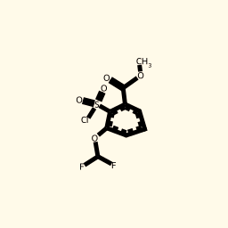 COC(=O)c1cccc(OC(F)F)c1S(=O)(=O)Cl